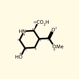 COC(=O)C1CC(O)CN[C@H]1C(=O)O